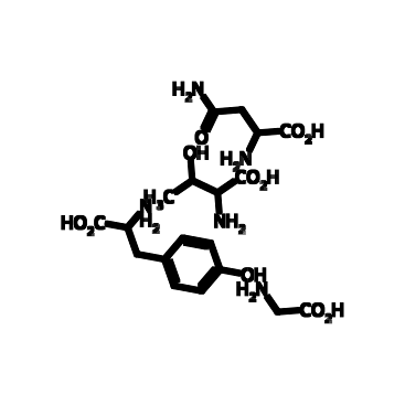 CC(O)C(N)C(=O)O.NC(=O)CC(N)C(=O)O.NC(Cc1ccc(O)cc1)C(=O)O.NCC(=O)O